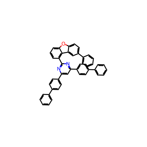 c1ccc(-c2ccc(-c3cc(-c4ccc(-c5ccccc5)cc4)nc(-c4cccc5oc6ccc(-c7ccccc7)cc6c45)n3)cc2)cc1